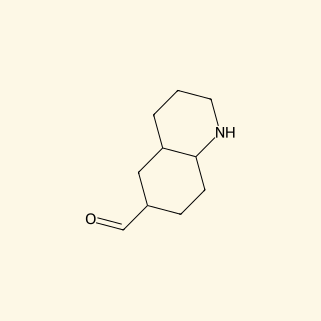 O=CC1CCC2NCCCC2C1